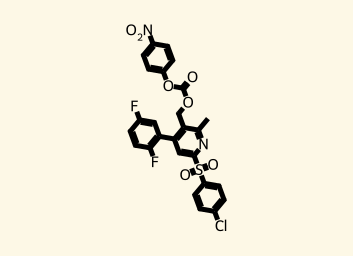 Cc1nc(S(=O)(=O)c2ccc(Cl)cc2)cc(-c2cc(F)ccc2F)c1COC(=O)Oc1ccc([N+](=O)[O-])cc1